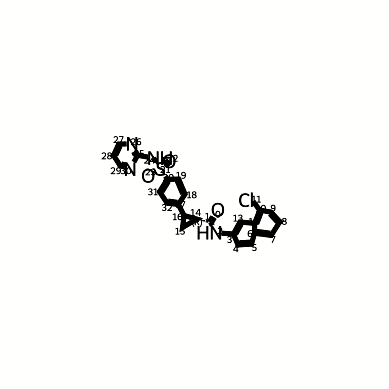 O=C(Nc1ccc2cccc(Cl)c2c1)[C@@H]1CC1c1ccc(S(=O)(=O)Nc2ncccn2)cc1